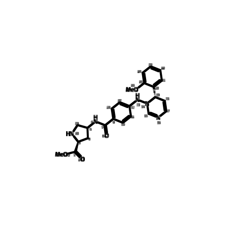 COC(=O)[C@@H]1CC(NC(=O)c2ccc(NN3C=NC=C[C@H]3c3ccccc3OC)cc2)CN1